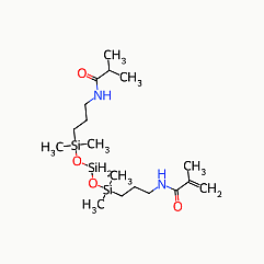 C=C(C)C(=O)NCCC[Si](C)(C)O[SiH2]O[Si](C)(C)CCCNC(=O)C(C)C